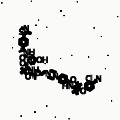 Cc1ncsc1-c1ccc([C@H](C)NC(=O)[C@@H]2C[C@@H](O)CN2C(=O)[C@@H](NC(=O)[C@H](C)OCCN2CCN(c3ccc(C(=O)N[C@H]4C(C)(C)[C@H](Oc5ccc(C#N)c(Cl)c5)C4(C)C)cc3)CC2)C(C)(C)C)cc1